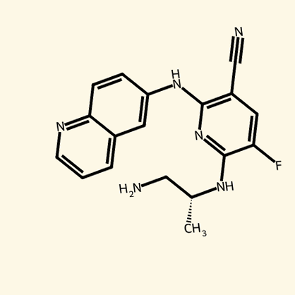 C[C@H](CN)Nc1nc(Nc2ccc3ncccc3c2)c(C#N)cc1F